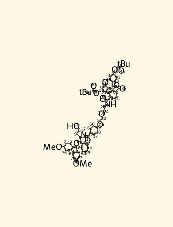 COc1ccc(C(OCC2CC(O)CN2C(=O)c2ccc(OCCOCCNC(=O)c3ccc4c(c3)C3(OC4=O)c4ccc(OC(=O)C(C)(C)C)cc4Oc4cc(OC(=O)C(C)(C)C)ccc43)cc2)(c2ccccc2)c2ccc(OC)cc2)cc1